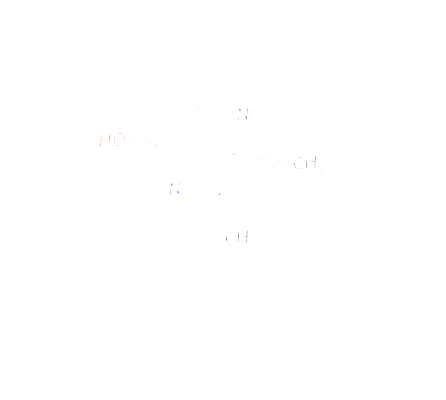 CC1=C(C)N2CCN1CC2O